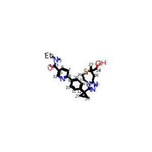 CCN(C)C(=O)c1ccc(-c2ccc(C3(c4nnc5n4CCSC(C)(CO)C5)CC3)cc2)nc1